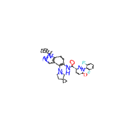 CC(C)(C)n1ncc2c(N3CCC4(CC4)C3)c(NC(=O)c3ccc(=O)n(-c4c(F)cccc4F)n3)ccc21